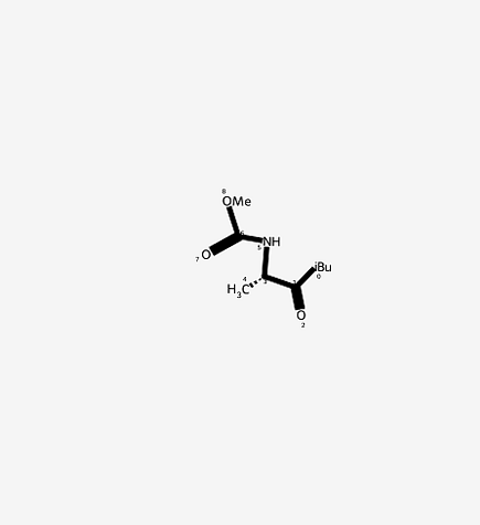 CCC(C)C(=O)[C@H](C)NC(=O)OC